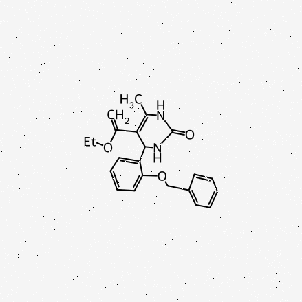 C=C(OCC)C1=C(C)NC(=O)NC1c1ccccc1OCc1ccccc1